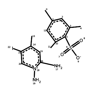 Cc1cc(C)c(S(=O)(=O)[O-])c(C)c1.Cc1cc(N)[n+](N)cc1I